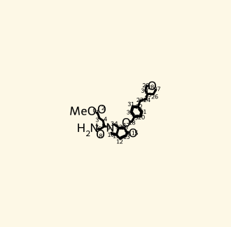 COC(=O)CCC(C(N)=O)N1C=C2C=CC(=O)C(OCc3ccc(CCC4CCOCC4)cc3)=C2C1